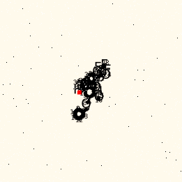 CC[C@]12C[C@H](COCc3ccccc3)C(OC)[C@@H]3Oc4c(OS(=O)(=O)C(F)(F)F)ccc5c4[C@@]31CCN(C)[C@@H]2C5